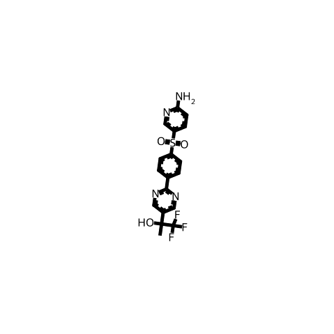 CC(O)(c1cnc(-c2ccc(S(=O)(=O)c3ccc(N)nc3)cc2)nc1)C(F)(F)F